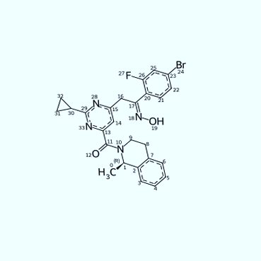 C[C@@H]1c2ccccc2CCN1C(=O)c1cc(CC(=NO)c2ccc(Br)cc2F)nc(C2CC2)n1